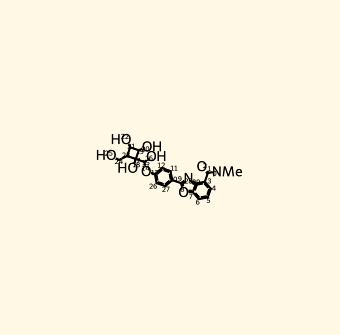 CNC(=O)c1cccc2oc(-c3ccc(OC(O)C4(O)C(O)C(O)C4CO)cc3)nc12